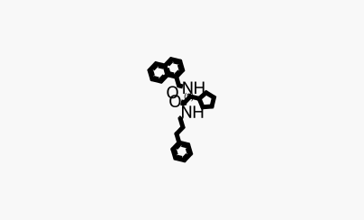 O=C(N[C@H](C(=O)NCCCc1ccccc1)C1CCCC1)c1cccc2ccccc12